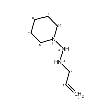 C=CCNNN1CCCCC1